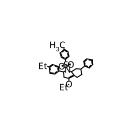 CCOC1=C2CCC(c3ccccc3)CC2N(S(=O)(=O)c2ccc(C)cc2)C(c2ccc(CC)cc2)C1